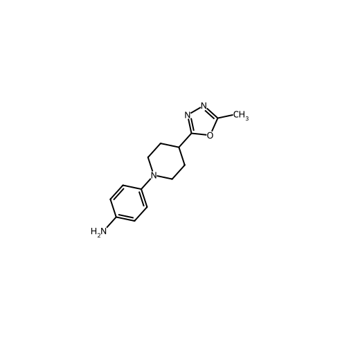 Cc1nnc(C2CCN(c3ccc(N)cc3)CC2)o1